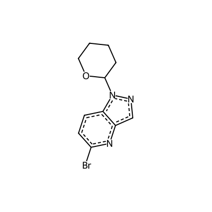 Brc1ccc2c(cnn2C2CCCCO2)n1